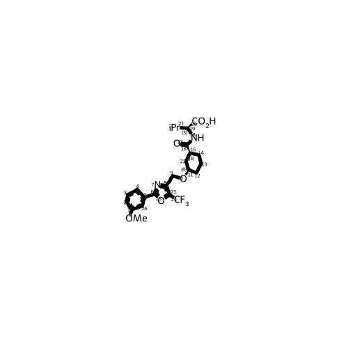 COc1cccc(-c2nc(CO[C@@H]3CCC[C@H](C(=O)N[C@H](C(=O)O)C(C)C)C3)c(C(F)(F)F)o2)c1